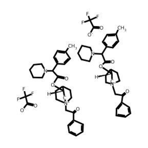 Cc1ccc(C(C(=O)O[C@H]2C[N+]3(CC(=O)c4ccccc4)CCC2CC3)N2CCCCC2)cc1.Cc1ccc(C(C(=O)O[C@H]2C[N+]3(CC(=O)c4ccccc4)CCC2CC3)N2CCCCC2)cc1.O=C([O-])C(F)(F)F.O=C([O-])C(F)(F)F